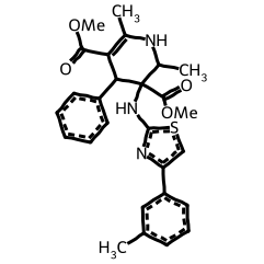 COC(=O)C1=C(C)NC(C)C(Nc2nc(-c3cccc(C)c3)cs2)(C(=O)OC)C1c1ccccc1